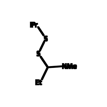 CCC(NC)SSC(C)C